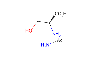 CC(N)=O.N[C@@H](CO)C(=O)O